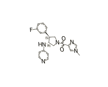 Cn1cnc(S(=O)(=O)N2C[C@H](Nc3ccncc3)[C@@H](c3cccc(F)c3)C2)c1